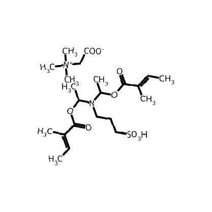 C/C=C(\C)C(=O)OC(C)N(CCCS(=O)(=O)O)C(C)OC(=O)/C(C)=C/C.C[N+](C)(C)CC(=O)[O-]